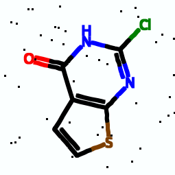 O=c1[nH]c(Cl)nc2sccc12